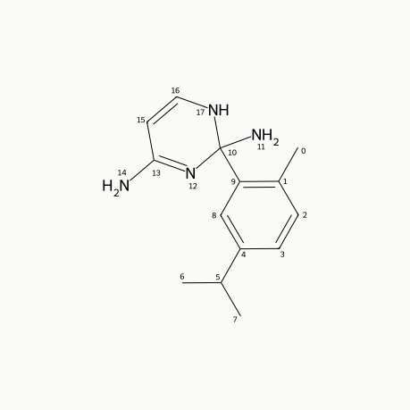 Cc1ccc(C(C)C)cc1C1(N)N=C(N)C=CN1